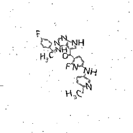 CCc1ccc(Nc2ccc(C(=O)c3c[nH]c4ncnc(N[C@@H](C)c5ccc(F)cc5)c34)c(F)n2)cn1